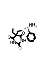 CCC1(CC)C(=O)NC(=O)NC1=O.NNc1ccccc1